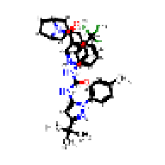 Cc1ccc(-n2nc(C(C)(C)C)cc2NC(=O)Nc2cccc(CC3CC4CCC(C3)N4C(=O)c3cnccc3C(F)(F)F)c2)cc1